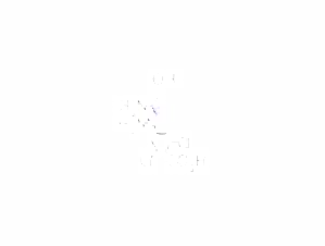 N/C(=C\N(N)c1cc(Cl)c(C(=O)O)c(Cl)c1)CCO